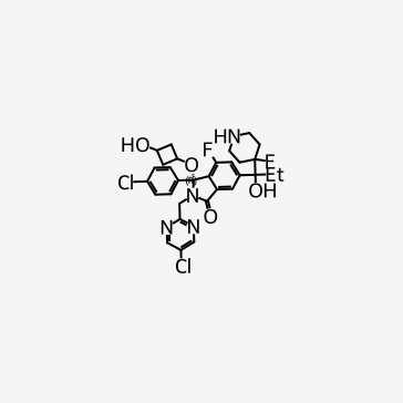 CCC(O)(c1cc(F)c2c(c1)C(=O)N(Cc1ncc(Cl)cn1)[C@@]2(OC1CC(O)C1)c1ccc(Cl)cc1)C1(F)CCNCC1